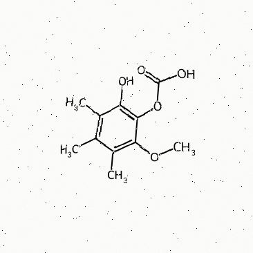 COc1c(C)c(C)c(C)c(O)c1OC(=O)O